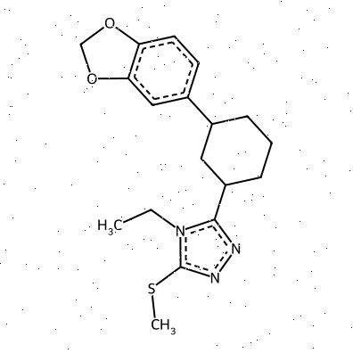 CCn1c(SC)nnc1C1CCCC(c2ccc3c(c2)OCO3)C1